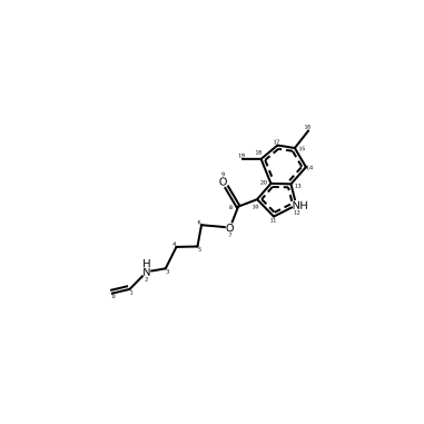 C=CNCCCCOC(=O)c1c[nH]c2cc(C)cc(C)c12